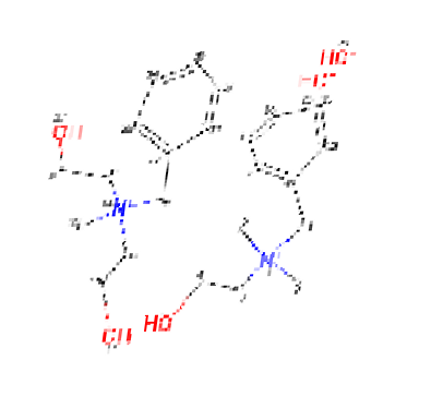 C[N+](C)(CCO)Cc1ccccc1.C[N+](CCO)(CCO)Cc1ccccc1.[OH-].[OH-]